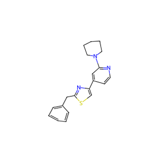 c1ccc(Cc2nc(-c3ccnc(N4CCCCC4)c3)cs2)cc1